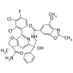 COc1cc(C(=O)NC[C@@](O)(c2ccccc2)c2cc3c(c(-c4ccc(F)c(Cl)c4Cl)n2)OC[C@]3(C)C(N)=O)cc2oc(C)nc12